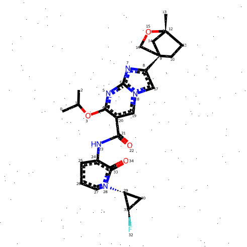 CC(C)Oc1nc2nc([C@]34CC[C@](C)(C3)OC4)cn2cc1C(=O)Nc1cccn([C@@H]2C[C@H]2F)c1=O